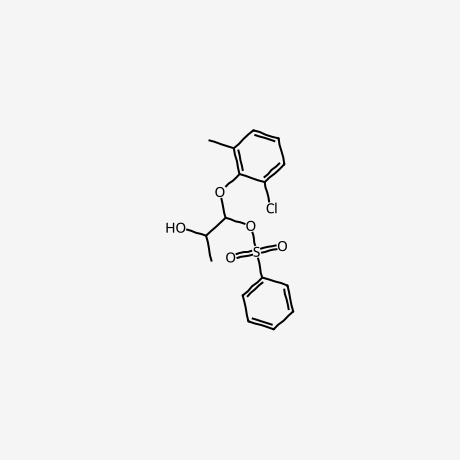 Cc1cccc(Cl)c1OC(OS(=O)(=O)c1ccccc1)C(C)O